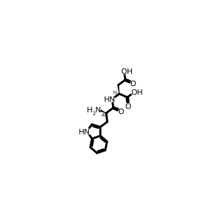 N[C@H](Cc1c[nH]c2ccccc12)C(=O)N[C@@H](CC(=O)O)C(=O)O